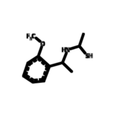 CC(S)NC(C)c1ccccc1OC(F)(F)F